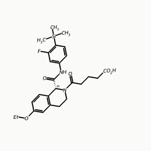 CCOc1ccc2c(c1)CCN(C(=O)CCCC(=O)O)[C@H]2C(=O)Nc1ccc([Si](C)(C)C)c(F)c1